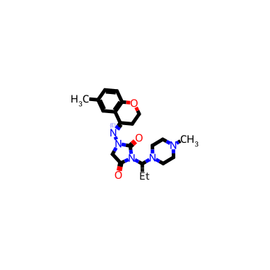 CCC(N1CCN(C)CC1)N1C(=O)CN(/N=C2\CCOc3ccc(C)cc32)C1=O